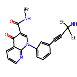 CCC(N)(C#Cc1cccc(-n2cc(C(=O)NC(C)C)c(=O)c3cccnc32)c1)CC